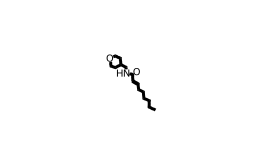 CCCCCCC=CC(=O)NCC1CCOCC1